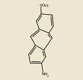 CCCCCCCCc1ccc2cc3cc(N)ccc3cc2c1